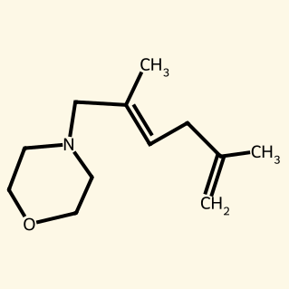 C=C(C)CC=C(C)CN1CCOCC1